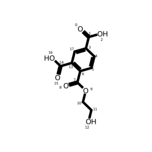 O=C(O)c1ccc(C(=O)OCCO)c(C(=O)O)c1